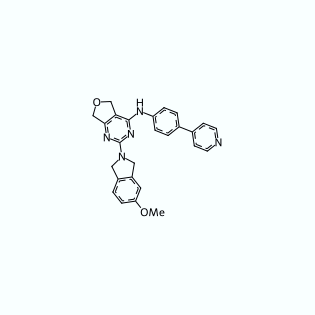 COc1ccc2c(c1)CN(c1nc3c(c(Nc4ccc(-c5ccncc5)cc4)n1)COC3)C2